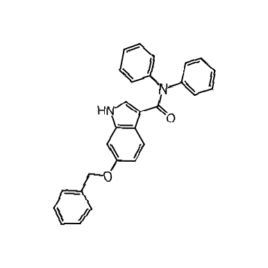 O=C(c1c[nH]c2cc(OCc3ccccc3)ccc12)N(c1ccccc1)c1ccccc1